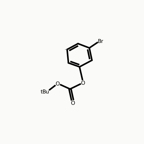 CC(C)(C)OC(=O)Oc1c[c]cc(Br)c1